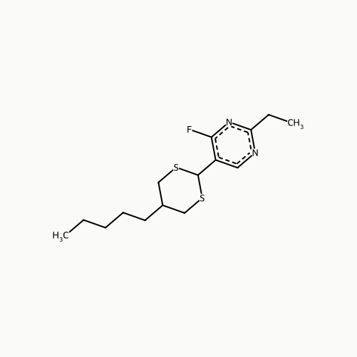 CCCCCC1CSC(c2cnc(CC)nc2F)SC1